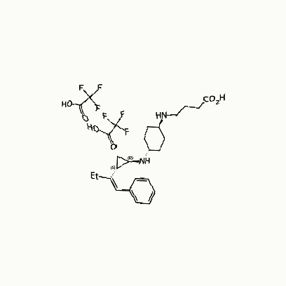 CCC(=Cc1ccccc1)[C@@H]1C[C@H]1N[C@H]1CC[C@H](NCCCC(=O)O)CC1.O=C(O)C(F)(F)F.O=C(O)C(F)(F)F